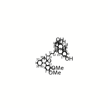 COc1ccc(CC(=O)N(CCCCC[C@@H]2Cc3cc(O)ccc3[C@@H]3[C@@H]2[C@@H]2CC[C@H](O)[C@@]2(C)C[C@@H]3F)CC2CCCCC2)cc1OC